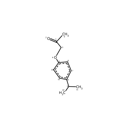 CC(=O)COc1ccc(C(C)C)cc1